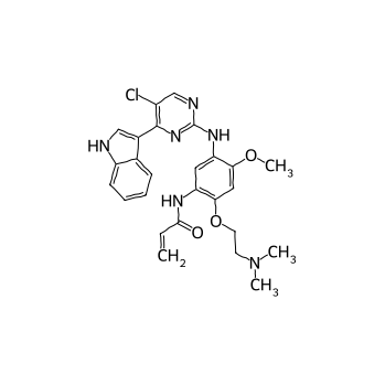 C=CC(=O)Nc1cc(Nc2ncc(Cl)c(-c3c[nH]c4ccccc34)n2)c(OC)cc1OCCN(C)C